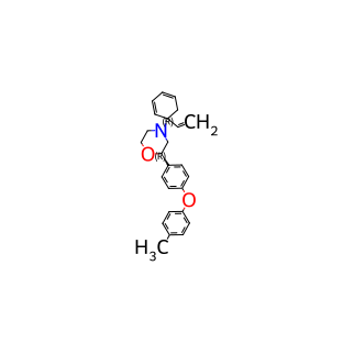 C=C[C@@]1(N2CCO[C@H](c3ccc(Oc4ccc(C)cc4)cc3)C2)C=CC=CC1